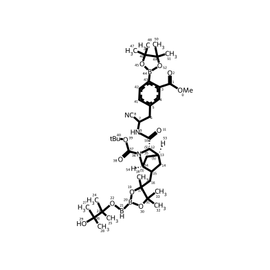 COC(=O)c1cc(CC(C#N)NC(=O)[C@@H]2[C@H]3CC(CC4(C)OB(BOC(C)(C)C(C)(C)O)OC4(C)C)[C@H](C3)N2C(=O)OC(C)(C)C)ccc1B1OC(C)(C)C(C)(C)O1